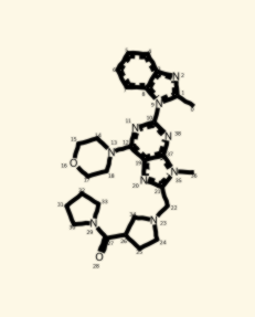 Cc1nc2ccccc2n1-c1nc(N2CCOCC2)c2nc(CN3CCC(C(=O)N4CCCC4)C3)n(C)c2n1